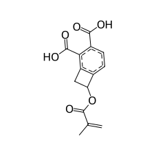 C=C(C)C(=O)OC1Cc2c1ccc(C(=O)O)c2C(=O)O